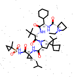 CCN1CCC[C@H]1C(=O)N[C@H](C(=O)N[C@H](C(=O)N1C[C@]2(C[C@H]1C(=O)N[C@]1(C(=O)NS(=O)(=O)C3(C)CC3)C[C@H]1CC(C)C)C(C)(C)C21CCC1)C(C)(C)C)C1CCCCC1